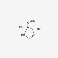 CCCCSC1(S)NN=CS1.[Na]